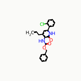 C=CCc1cc(-c2ccccc2Cl)[nH]c(=O)c1NC(=O)OCc1ccccc1